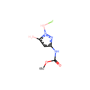 Bc1cc(NC(=O)OC(C)(C)C)nn1BF